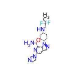 CC(F)(F)CNC1CCC(n2ncc3cc(-n4ccnc4)nc(C(N)=O)c32)CC1